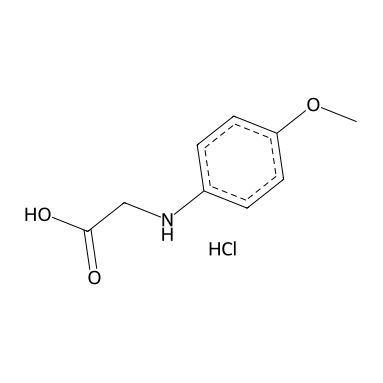 COc1ccc(NCC(=O)O)cc1.Cl